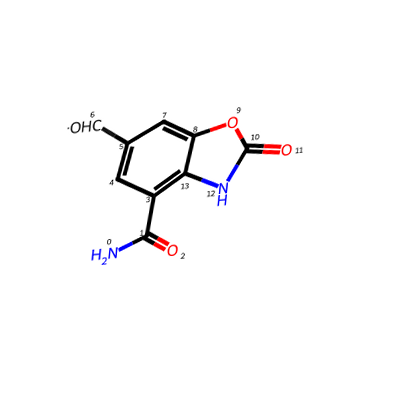 NC(=O)c1cc([C]=O)cc2oc(=O)[nH]c12